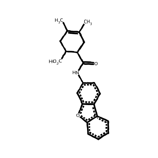 CC1=C(C)CC(C(=O)Nc2ccc3c(c2)oc2ccccc23)C(C(=O)O)C1